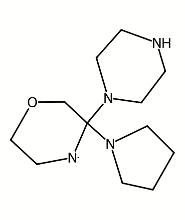 C1CCN(C2(N3CCNCC3)COCC[N]2)C1